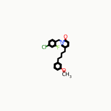 COc1cccc(CCCCc2ccc(=O)n(Cc3ccc(Cl)cc3F)c2)c1